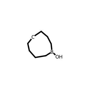 OB1CCCCCCCC1